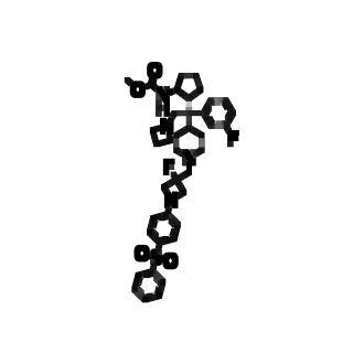 COC(=O)N[C@H]1CCC[C@@H]1C(CN1CCC1)(c1cccc(F)c1)C1CCN(CC2(F)CN(c3ccc(S(=O)(=O)c4ccccc4)cc3)C2)CC1